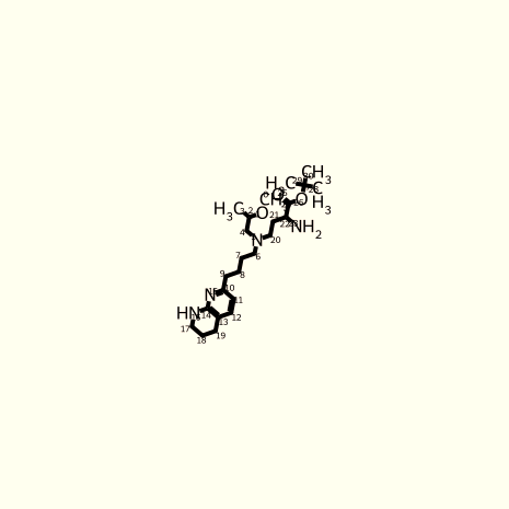 COC(C)CN(CCCCc1ccc2c(n1)NCCC2)CCC(N)C(=O)OC(C)(C)C